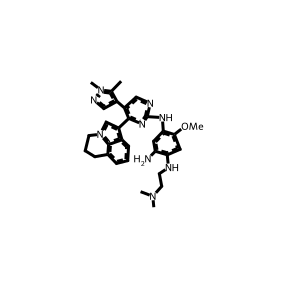 COc1cc(NCCN(C)C)c(N)cc1Nc1ncc(-c2cnn(C)c2C)c(-c2cn3c4c(cccc24)CCC3)n1